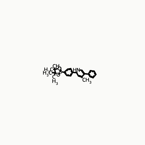 CC1=CC(c2ccc(B3OC(C)(C)C(C)(C)O3)cc2)NC=C1c1ccccc1